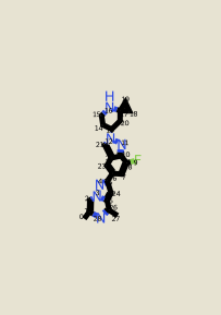 Cc1cn2nc(-c3cc(F)c4nn([C@@H]5CCNC6(CC6)C5)cc4c3)cc2c(C)n1